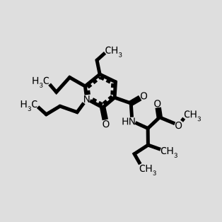 CCCCn1c(CCC)c(CC)cc(C(=O)NC(C(=O)OC)C(C)CC)c1=O